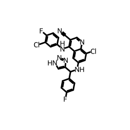 N#Cc1cnc2c(Cl)cc(NC(c3ccc(F)cc3)c3c[nH]nn3)cc2c1Nc1ccc(F)c(Cl)c1